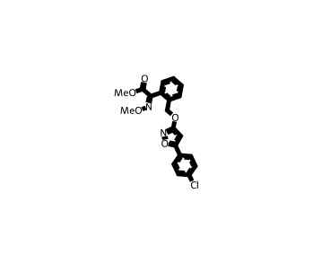 CON=C(C(=O)OC)c1ccccc1COc1cc(-c2ccc(Cl)cc2)on1